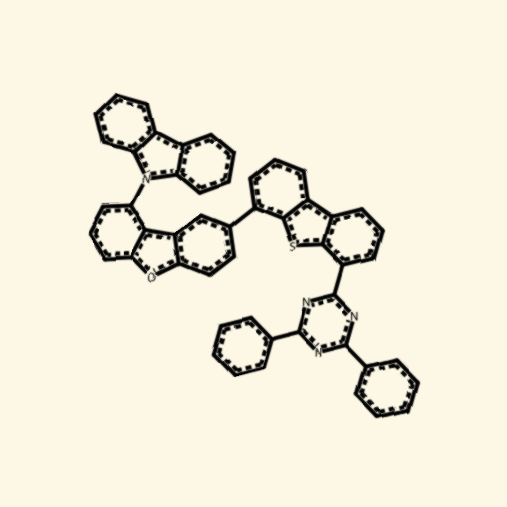 c1ccc(-c2nc(-c3ccccc3)nc(-c3cccc4c3sc3c(-c5ccc6oc7cccc(-n8c9ccccc9c9ccccc98)c7c6c5)cccc34)n2)cc1